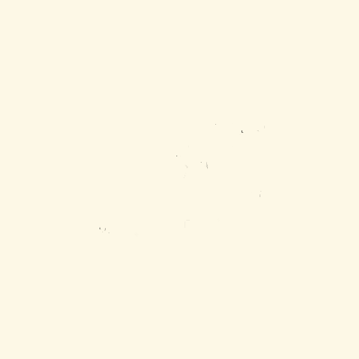 CC/C=C\CC(O)C/C=C1/C(=O)C=CC1c1nc(CCCCC(=O)OC)cs1